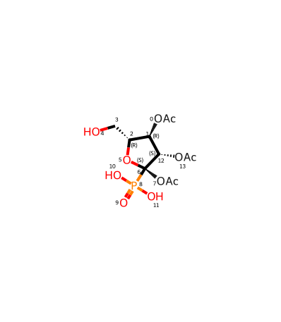 CC(=O)O[C@@H]1[C@@H](CO)O[C@@](OC(C)=O)(P(=O)(O)O)[C@H]1OC(C)=O